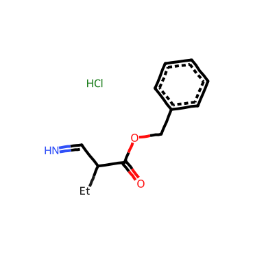 CCC(C=N)C(=O)OCc1ccccc1.Cl